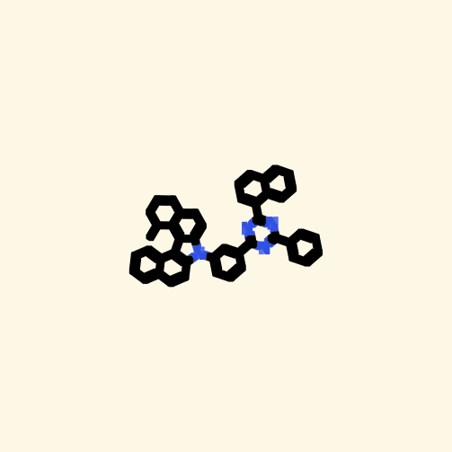 CC1CC=Cc2ccc3c(c21)c1c2ccccc2ccc1n3-c1cccc(-c2nc(-c3ccccc3)nc(-c3cccc4ccccc34)n2)c1